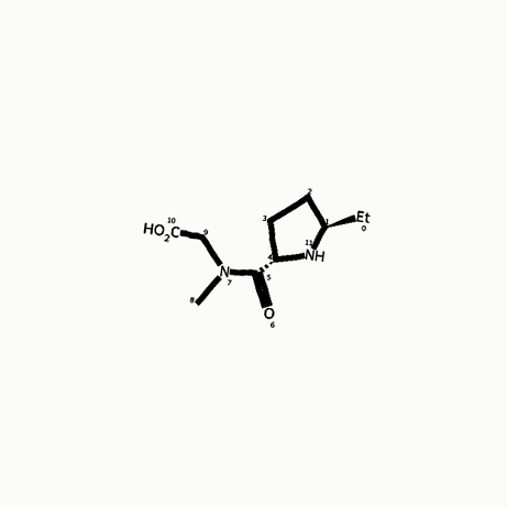 CC[C@@H]1CC[C@@H](C(=O)N(C)CC(=O)O)N1